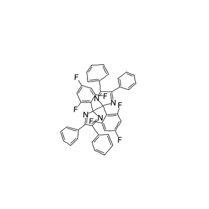 Fc1cc(F)c(C2(C3(c4c(F)cc(F)cc4F)N=C(c4ccccc4)C(c4ccccc4)=N3)N=C(c3ccccc3)C(c3ccccc3)=N2)c(F)c1